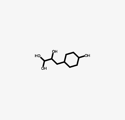 OC1CCC(CC(O)C(O)O)CC1